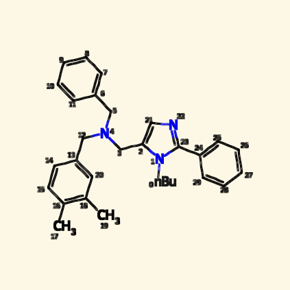 CCCCn1c(CN(Cc2ccccc2)Cc2ccc(C)c(C)c2)cnc1-c1ccccc1